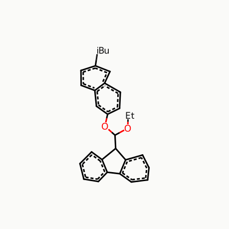 CCOC(Oc1ccc2cc(C(C)CC)ccc2c1)C1c2ccccc2-c2ccccc21